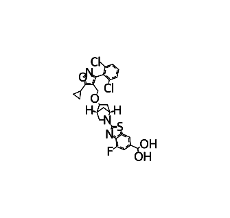 OC(O)c1cc(F)c2nc(N3C[C@H]4C[C@@H]3C[C@H]4OCc3c(-c4c(Cl)cccc4Cl)noc3C3CC3)sc2c1